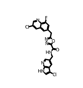 O=C(NCc1cnc2[nH]cc(Cl)c2c1)c1nnc(Cc2cc(F)c3ncc(Cl)cc3c2)o1